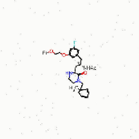 CCOCCOc1cc(F)cc(C[C@@H](C[C@@H]2NCCN(CC3(C)C=CC=CC3)C2=O)NC(C)=O)c1